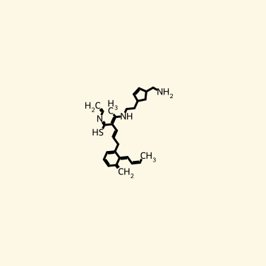 C=C/N=C(/S)C(/C=C/Cc1cccc(=C)/c1=C\C=C/C)=C(C)NCCC1C=CC(CN)C1